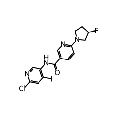 O=C(Nc1cnc(Cl)cc1I)c1ccc(N2CC[C@@H](F)C2)nc1